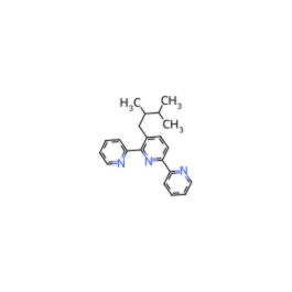 CC(C)C(C)Cc1ccc(-c2ccccn2)nc1-c1ccccn1